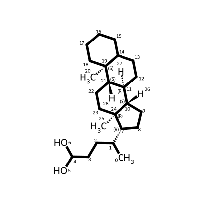 CC(CCC(O)O)[C@H]1CC[C@H]2[C@@H]3CCC4CCCC[C@]4(C)[C@H]3CC[C@]12C